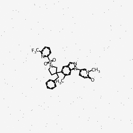 Cc1cc2c(cnn2-c2ccc(=O)n(C)c2)cc1C1(Cc2ccccc2)CCN(S(=O)(=O)c2cccc(C(F)(F)F)n2)C1